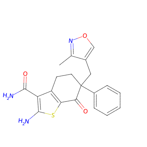 Cc1nocc1CC1(c2ccccc2)CCc2c(sc(N)c2C(N)=O)C1=O